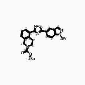 CC(C)n1ncc2cc(-c3nc(-c4cccc5c4CCN(C(=O)OC(C)(C)C)C5)no3)ccc21